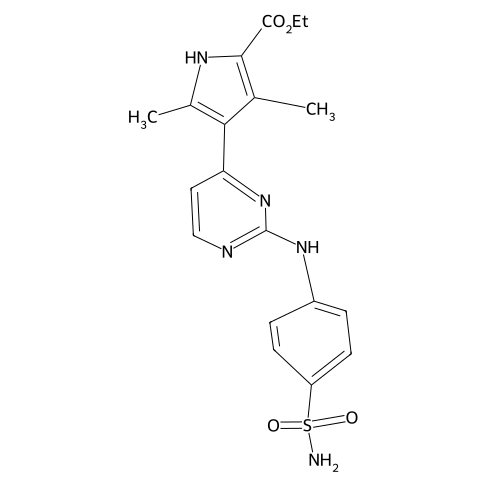 CCOC(=O)c1[nH]c(C)c(-c2ccnc(Nc3ccc(S(N)(=O)=O)cc3)n2)c1C